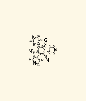 [C-]#[N+]c1c(-c2ccncc2)c(C#N)c(-c2ccncc2)c(C#N)c1-c1ccncc1